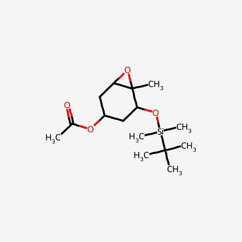 CC(=O)OC1CC2OC2(C)C(O[Si](C)(C)C(C)(C)C)C1